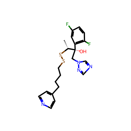 C[C@@H](SSCCCCc1ccncc1)[C@](O)(Cn1cncn1)c1cc(F)ccc1F